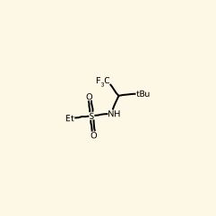 CCS(=O)(=O)NC(C(C)(C)C)C(F)(F)F